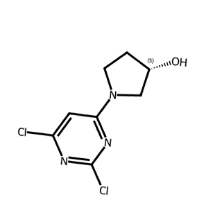 O[C@H]1CCN(c2cc(Cl)nc(Cl)n2)C1